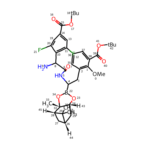 COc1c(CC(NC(=O)C(N)c2c(F)cc(C(=O)OC(C)(C)C)cc2F)B2O[C@@H]3C[C@@H]4C[C@@H](C4(C)C)[C@]3(C)O2)cccc1C(=O)OC(C)(C)C